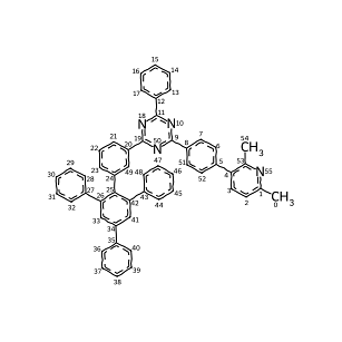 Cc1ccc(-c2ccc(-c3nc(-c4ccccc4)nc(-c4cccc(-c5c(-c6ccccc6)cc(-c6ccccc6)cc5-c5ccccc5)c4)n3)cc2)c(C)n1